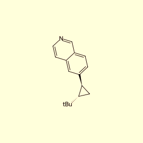 CC(C)(C)[C@H]1C[C@@H]1c1ccc2cnccc2c1